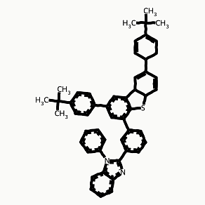 CC(C)(C)C1=CCC(C2=CC3c4cc(-c5ccc(C(C)(C)C)cc5)cc(-c5cccc(-c6nc7ccccc7n6-c6ccccc6)c5)c4SC3C=C2)C=C1